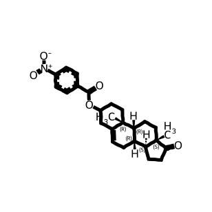 C[C@]12CCC(OC(=O)c3ccc([N+](=O)[O-])cc3)CC1=CC[C@@H]1[C@H]2CC[C@]2(C)C(=O)CC[C@@H]12